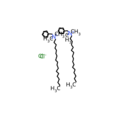 CCCCCCCCCCCCCCCCCC[N+](C)(C)Cc1ccccc1.CCCCCCCCCCCCCCCCCC[N+](C)(C)Cc1ccccc1.[Cl-].[Cl-]